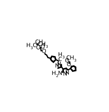 COCOc1ccccc1-c1cc(-c2cnn(C(C)c3ccc(CCCOCC(=O)OC(C)(C)C)cc3)c2)c(N)nn1